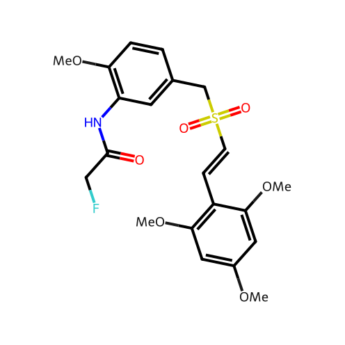 COc1cc(OC)c(/C=C/S(=O)(=O)Cc2ccc(OC)c(NC(=O)CF)c2)c(OC)c1